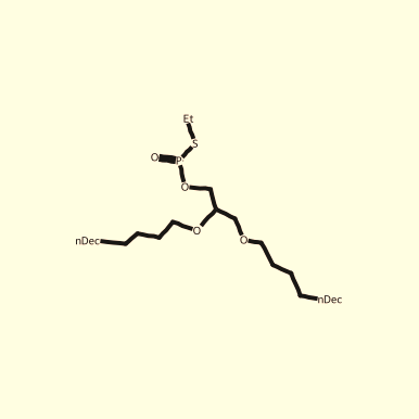 CCCCCCCCCCCCCCOCC(CO[P](=O)SCC)OCCCCCCCCCCCCCC